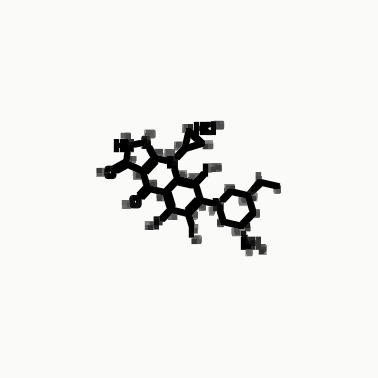 CC[C@H]1C[C@H](N)CN(c2c(F)c(F)c3c(=O)c4c(=O)[nH]sc4n(C4CC4)c3c2F)C1.Cl